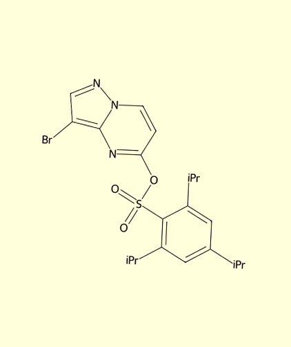 CC(C)c1cc(C(C)C)c(S(=O)(=O)Oc2ccn3ncc(Br)c3n2)c(C(C)C)c1